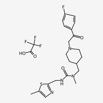 Cc1cnc(CNC(=O)N(C)CC2CCN(CC(=O)c3ccc(F)cc3)CC2)s1.O=C(O)C(F)(F)F